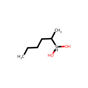 CCCCC(C)[SiH](O)O